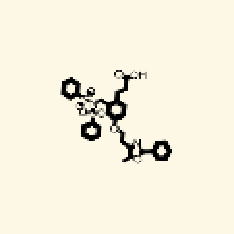 Cc1oc(-c2ccccc2)nc1CCOc1ccc(CCC(=O)O)c(CN(S(=O)(=O)c2ccccc2)S(=O)(=O)c2ccccc2)c1